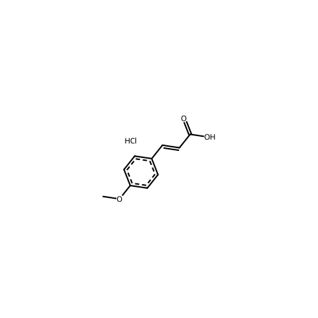 COc1ccc(C=CC(=O)O)cc1.Cl